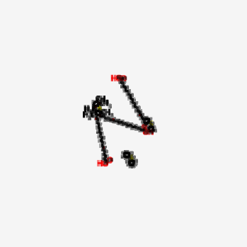 Cc1ccc(C)c(Sc2c(C)c(C)c(CCCCCCCCCCCCCCCCCCCC(=O)O)c(CCCCCCCCCCCCCCCCCCCC(=O)O)c2C)c1C.O=C(O)CCCCCCCCCCCCCCCCCCCc1ccc(Sc2cc[c]cc2)cc1.[c]1ccc(Sc2cc[c]cc2)cc1